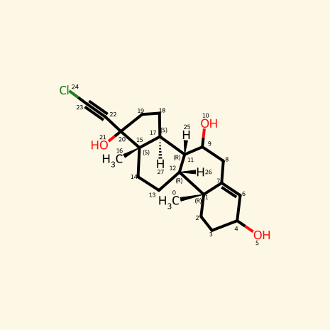 C[C@]12CCC(O)C=C1CC(O)[C@@H]1[C@H]2CC[C@@]2(C)[C@H]1CCC2(O)C#CCl